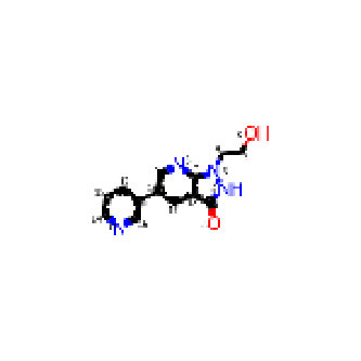 O=c1[nH]n(CCO)c2ncc(-c3cccnc3)cc12